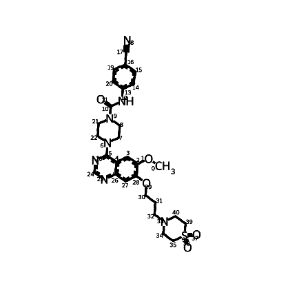 COc1cc2c(N3CCN(C(=O)Nc4ccc(C#N)cc4)CC3)ncnc2cc1OCCCN1CCS(=O)(=O)CC1